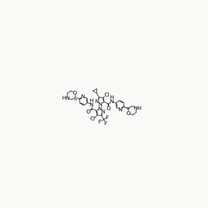 O=C(Nc1ccc([C@H]2CNCCO2)nc1)c1c(Cl)c(C2CC2)nn1-n1nc(C(F)(F)F)c(Cl)c1C(=O)Nc1ccc([C@H]2CNCCO2)nc1